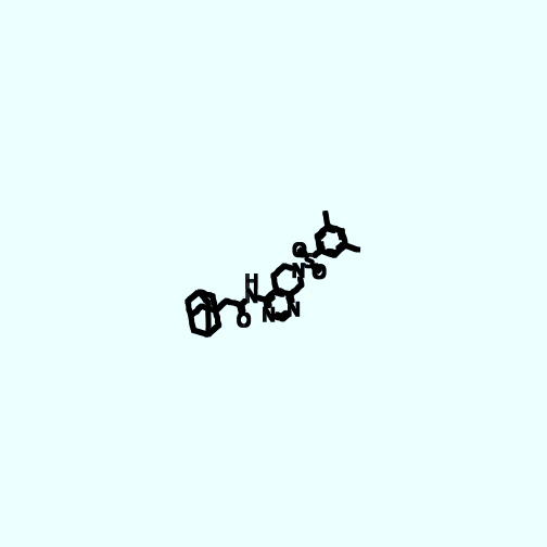 Cc1cc(C)cc(S(=O)(=O)N2CCc3c(ncnc3NC(=O)CC34CC5CC(CC(C5)C3)C4)C2)c1